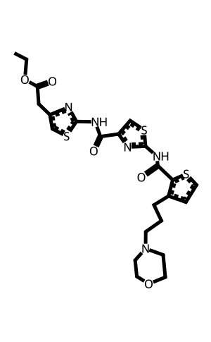 CCOC(=O)Cc1csc(NC(=O)c2csc(NC(=O)c3sccc3CCCN3CCOCC3)n2)n1